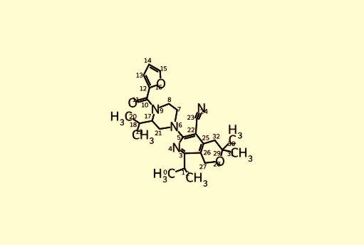 CC(C)c1nc(N2CCN(C(=O)c3ccco3)C(C(C)C)C2)c(C#N)c2c1COC(C)(C)C2